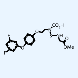 COC(=O)CNSN(CCOc1ccc(Oc2cc(F)cc(F)c2)cc1)C(=O)O